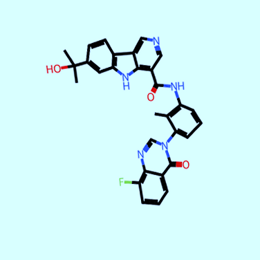 Cc1c(NC(=O)c2cncc3c2[nH]c2cc(C(C)(C)O)ccc23)cccc1-n1cnc2c(F)cccc2c1=O